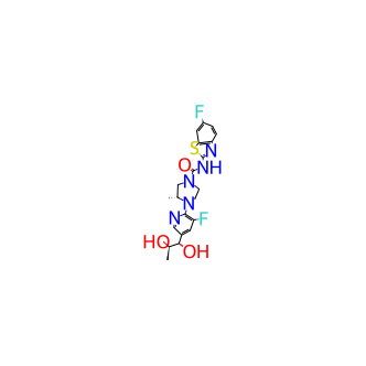 C[C@@H]1CN(C(=O)Nc2nc3ccc(F)cc3s2)CCN1c1ncc([C@@H](O)[C@@H](C)O)cc1F